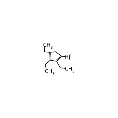 CCC1=C(CC)C(CC)=[C]([Hf])C1